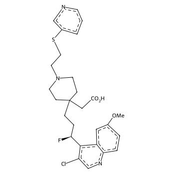 COc1ccc2ncc(Cl)c([C@@H](F)CCC3(CC(=O)O)CCN(CCSc4cccnc4)CC3)c2c1